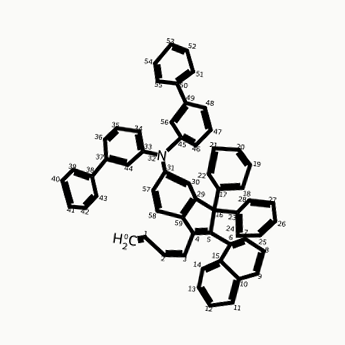 C=C/C=C\C1=C(c2cccc3ccccc23)C(c2ccccc2)(c2ccccc2)c2cc(N(c3cccc(-c4ccccc4)c3)c3cccc(-c4ccccc4)c3)ccc21